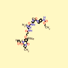 C=CCOC(=O)Nc1ccc2c(ccn2C(=O)c2cc(NC(=O)c3nc(NC(=O)CCCOc4cc5c(cc4OC)C(=O)N4CC(=C)CC4C(OC4CCCCO4)N5C(=O)O)cn3C)cn2C)c1